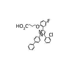 O=C(O)CCCOc1ccc(F)cc1-c1cc(-c2ccccc2Cl)n(-c2ccc(-c3ccccc3)cc2)n1